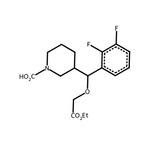 CCOC(=O)COC(c1cccc(F)c1F)C1CCCN(C(=O)O)C1